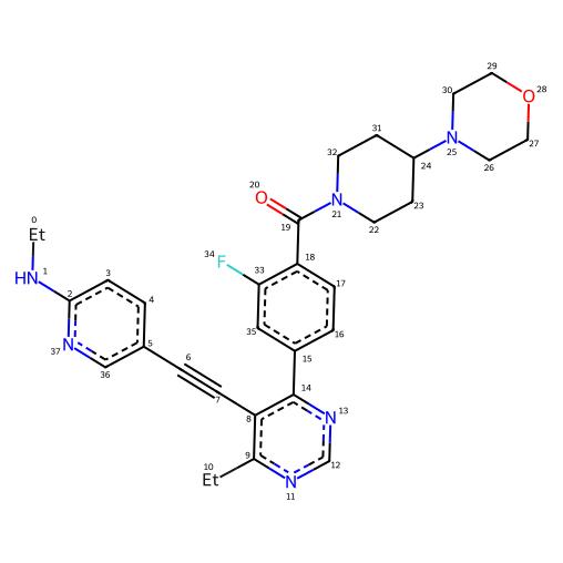 CCNc1ccc(C#Cc2c(CC)ncnc2-c2ccc(C(=O)N3CCC(N4CCOCC4)CC3)c(F)c2)cn1